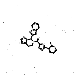 Cc1ncccc1-c1nnc(C(=O)N2CCc3[nH]cnc3C2c2cc3ccccn3n2)o1